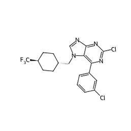 FC(F)(F)[C@H]1CC[C@H](Cn2cnc3nc(Cl)nc(-c4cccc(Cl)c4)c32)CC1